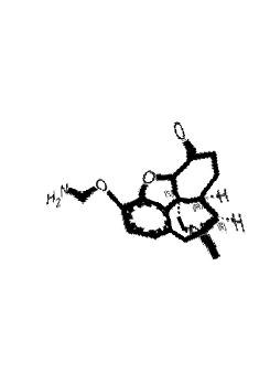 CN1CC[C@]23c4c5ccc(OCN)c4OC2C(=O)CC[C@H]3[C@H]1C5